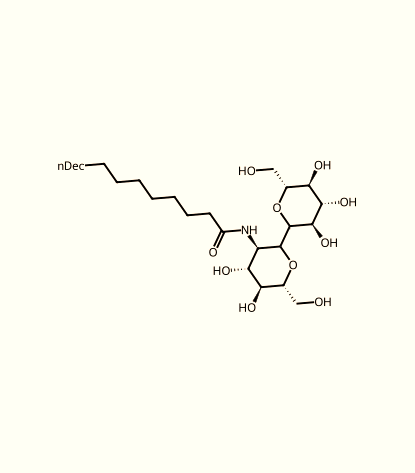 CCCCCCCCCCCCCCCCCC(=O)N[C@H]1C([C]2O[C@H](CO)[C@@H](O)[C@H](O)[C@H]2O)O[C@H](CO)[C@@H](O)[C@@H]1O